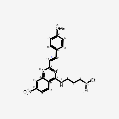 CCN(CC)CCCNc1nc(/C=C/c2ccc(OC)cc2)nc2cc([N+](=O)[O-])ccc12